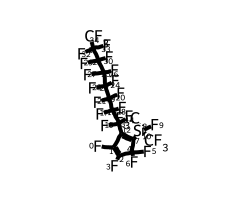 FC1=C(F)C(F)(F)C([Si](F)(C(F)(F)F)C(F)(F)F)=C1C(F)(F)C(F)(F)C(F)(F)C(F)(F)C(F)(F)C(F)(F)C(F)(F)C(F)(F)F